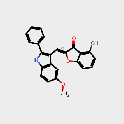 COc1ccc2[nH]c(-c3ccccc3)c(/C=C3\Oc4cccc(O)c4C3=O)c2c1